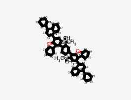 C[Si]1(C)c2cc3c(cc2-c2c1cc(-c1ccc(-c4ccccc4)c4ccccc14)c1c2oc2ccccc21)[Si](C)(C)c1cc(-c2ccc(-c4ccccc4)c4ccccc24)c2oc4ccccc4c2c1-3